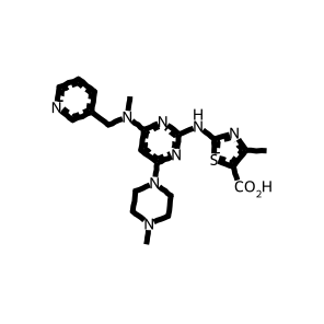 Cc1nc(Nc2nc(N(C)Cc3cccnc3)cc(N3CCN(C)CC3)n2)sc1C(=O)O